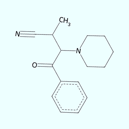 CC(C#N)C(C(=O)c1ccccc1)N1CCCCC1